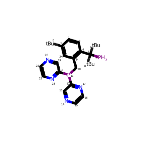 CC(C)(C)c1ccc(C(P)(C(C)(C)C)C(C)(C)C)c(CP(c2cnccn2)c2cnccn2)c1